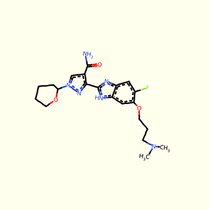 CN(C)CCCOc1cc2[nH]c(-c3nn(C4CCCCO4)cc3C(N)=O)nc2cc1F